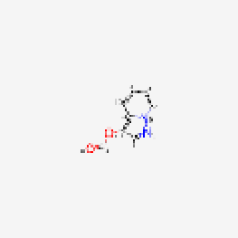 O=COc1cnn2ccccc12